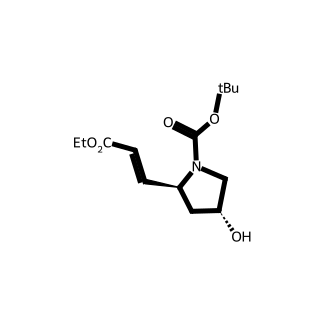 CCOC(=O)C=C[C@@H]1C[C@@H](O)CN1C(=O)OC(C)(C)C